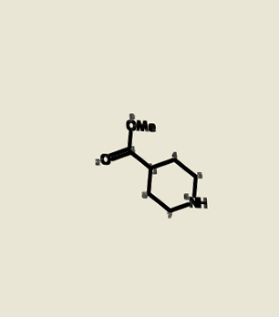 COC(=O)[C]1CCNCC1